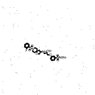 CNS(=O)(=O)c1cccc(OCC(O)CNC2COC3(CCN(S(=O)(=O)c4ccccc4F)CC3)C2)c1